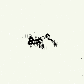 C#Cc1c(F)ccc2cc(O)cc(-c3ncc4c(N5CCNCC5)nc(OC[C@@H]5CCCN5CCCN=[N+]=[N-])nc4c3F)c12